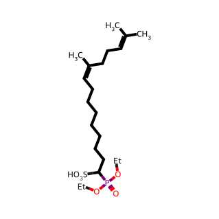 CCOP(=O)(OCC)C(CCCCCCCC=C(C)CCC=C(C)C)S(=O)(=O)O